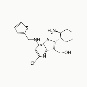 N[C@H]1CCCC[C@@H]1c1sc2c(NCc3cccs3)cc(Cl)nc2c1CO